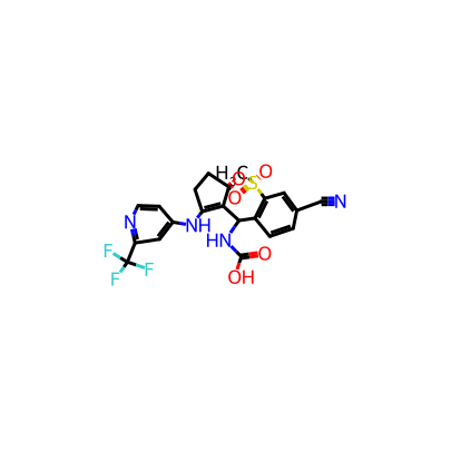 CS(=O)(=O)c1cc(C#N)ccc1C(NC(=O)O)C1=C(Nc2ccnc(C(F)(F)F)c2)CCC1=O